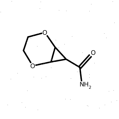 NC(=O)C1C2OCCOC21